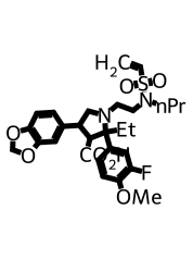 C=CS(=O)(=O)N(CCC)CCN1CC(c2ccc3c(c2)OCO3)C(C(=O)O)C1(CC)c1ccc(OC)c(F)c1